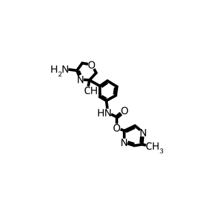 Cc1cnc(OC(=O)Nc2cccc(C3(C)COCC(N)=N3)c2)cn1